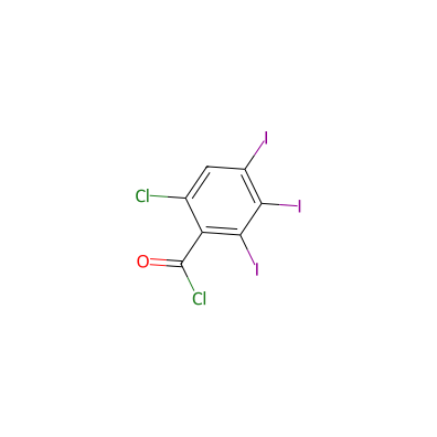 O=C(Cl)c1c(Cl)cc(I)c(I)c1I